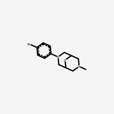 CN1CC2CN(c3ccc(Br)cc3)CC(C1)O2